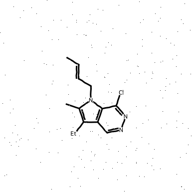 CC=CCn1c(C)c(CC)c2cnnc(Cl)c21